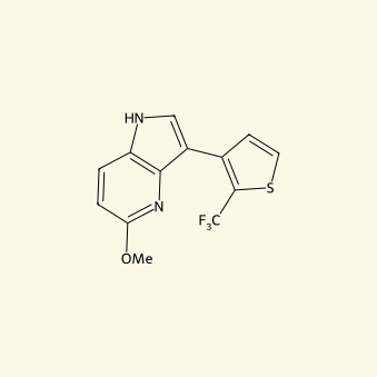 COc1ccc2[nH]cc(-c3ccsc3C(F)(F)F)c2n1